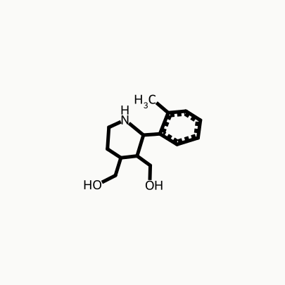 Cc1ccccc1C1NCCC(CO)C1CO